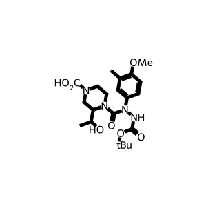 COc1ccc(N(NC(=O)OC(C)(C)C)C(=O)N2CCN(C(=O)O)CC2C(C)O)cc1C